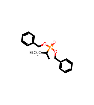 CCOC(=O)C(C)P(=O)(OCc1ccccc1)OCc1ccccc1